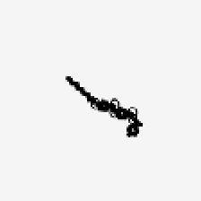 CCCCCCCCCCOc1ccc(C(=O)Oc2ccc(C(=O)OCC(C)C3CC=C(C)CC3)cc2)cc1